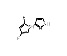 FC1=C[SH](c2cc[nH]n2)C(F)=C1